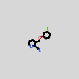 N#Cc1ncccc1COc1cccc(F)c1